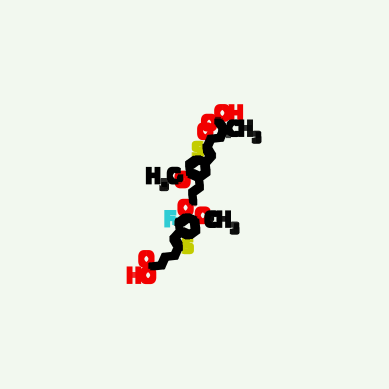 COc1cc2sc(C(=O)C[C@H](C)C(=O)O)cc2cc1CCCOc1c(OC)cc2sc(CCCC(=O)O)cc2c1F